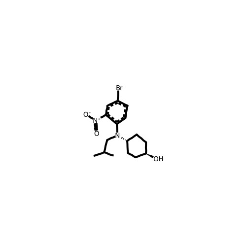 CC(C)CN(c1ccc(Br)cc1[N+](=O)[O-])[C@H]1CC[C@H](O)CC1